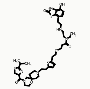 CCN(CCNCCc1ccc(O)c2[nH]c(=O)sc12)C(=O)CCOCCc1ccc(CCN2CCC3(CC2)CN(C(=O)C2CSC(C(C)C)=N2)CCO3)s1